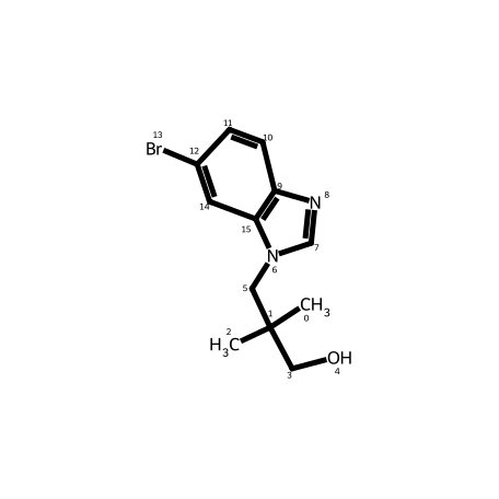 CC(C)(CO)Cn1cnc2ccc(Br)cc21